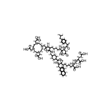 CC(C)Cc1ccc(C(C)C(=O)NC(CC(=O)O)C(=O)NCCCCC(NC(=O)CN2CCN(CC(=O)O)CCN(CC(=O)O)CCN(CC(=O)O)CC2)C(=O)NCC2CCC(C(=O)NC(Cc3ccc4ccccc4c3)C(=O)NCCCCC(NCNC(CCC(=O)O)C(=O)O)C(=O)O)CC2)cc1